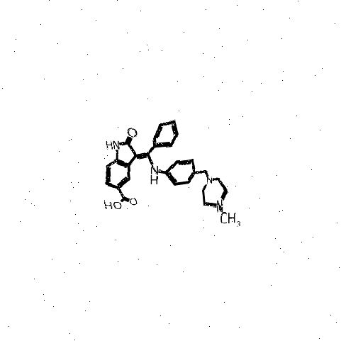 CN1CCN(Cc2ccc(NC(=C3C(=O)Nc4ccc(C(=O)O)cc43)c3ccccc3)cc2)CC1